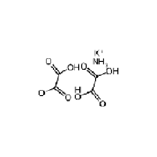 N.O=C(O)C(=O)O.O=C([O-])C(=O)O.[K+]